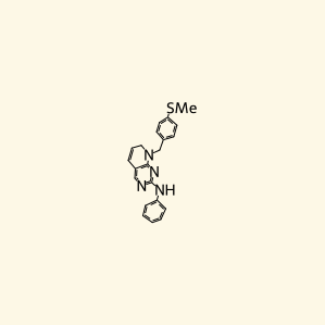 CSc1ccc(CN2CC=Cc3cnc(Nc4ccccc4)nc32)cc1